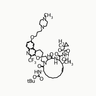 C[C@H]1/C=C\CCCCC[C@H](NC(=O)OC(C)(C)C)C(=O)N2C[C@@]3(CCc4c(c(C(F)(F)F)nc5ccc(OCCCN6CCN(C)CC6)cc45)O3)C[C@H]2C(=O)N[C@@]1(C)C(=O)NS(=O)(=O)C1(C)CC1